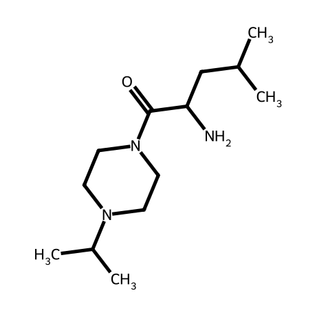 CC(C)CC(N)C(=O)N1CCN(C(C)C)CC1